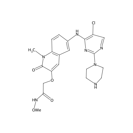 CONC(=O)COc1cc2cc(Nc3nc(N4CCNCC4)ncc3Cl)ccc2n(C)c1=O